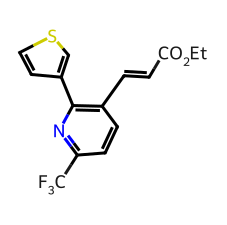 CCOC(=O)/C=C/c1ccc(C(F)(F)F)nc1-c1ccsc1